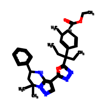 CCOC(=O)[C@@H]1C=CC(C(CC)(CC)c2nnc(-c3cnn4c3NC(c3ccccc3)CC4(C)C)o2)=CC1C